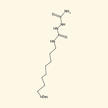 CCCCCCCCCCCCCCCCCCNC(=O)NNC(N)=O